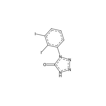 O=c1[nH]nnn1-c1cccc(I)c1I